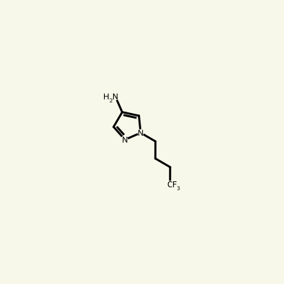 Nc1cnn(CCCC(F)(F)F)c1